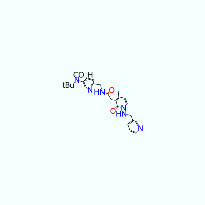 Cc1ccn(NCc2cccnc2)c(=O)c1CC(=O)NCc1ccc(N(C(=O)O)C(C)(C)C)cn1